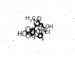 CCNC(O)c1cc2c(=O)n(C)cc(-c3cc(C(C)(C)O)ccc3Oc3ccc(F)cc3F)c2o1